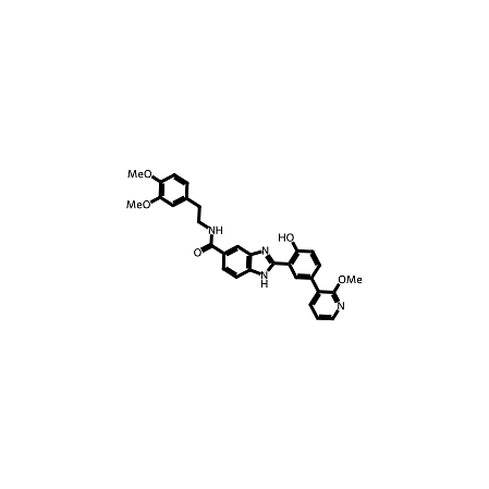 COc1ccc(CCNC(=O)c2ccc3[nH]c(-c4cc(-c5cccnc5OC)ccc4O)nc3c2)cc1OC